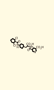 O=C(O)c1cncc(C(=O)N[C@@H](Cc2ccc(NC(=O)c3c(Cl)cccc3Cl)cc2)C(=O)O)c1